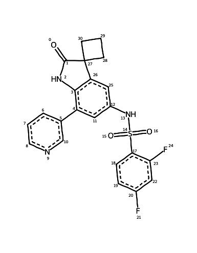 O=C1Nc2c(-c3cccnc3)cc(NS(=O)(=O)c3ccc(F)cc3F)cc2C12CCC2